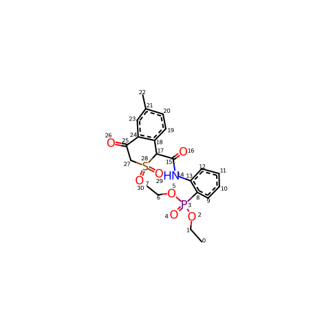 CCOP(=O)(OCC)c1ccccc1NC(=O)C1c2ccc(C)cc2C(=O)CS1(=O)=O